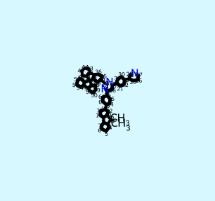 CC1(C)c2ccccc2-c2ccc(-c3ccc(-c4cc(-c5ccc(-c6cccnc6)cc5)nc(-c5ccc6c(c5)C5(C7=C6C=CCC7)c6ccccc6-c6ccccc65)n4)cc3)cc21